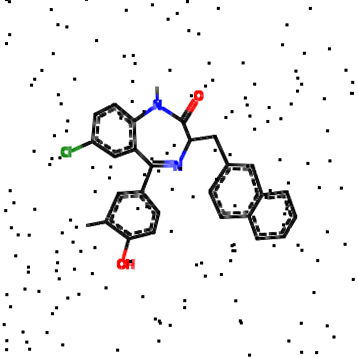 Cc1cc(C2=NC(Cc3ccc4ccccc4c3)C(=O)N(C)c3ccc(Cl)cc32)ccc1O